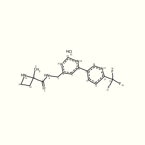 CC1(C(=O)NCc2cc(-c3ccc(C(F)(F)F)nc3)ncn2)CCN1.Cl